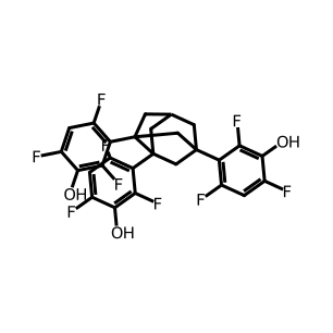 Oc1c(F)cc(F)c(C23CC4CC(c5c(F)cc(F)c(O)c5F)(C2)C(c2c(F)cc(F)c(O)c2F)(C4)C3)c1F